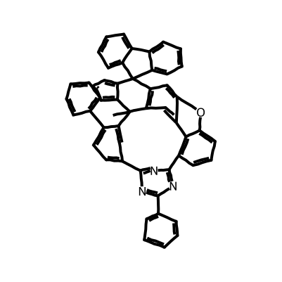 CC12c3cc(ccc3-c3ccccc3)-c3nc(-c4ccccc4)nc(n3)-c3cccc4oc5cc(c1cc5c34)C1(c3ccccc3-c3ccccc31)c1ccccc12